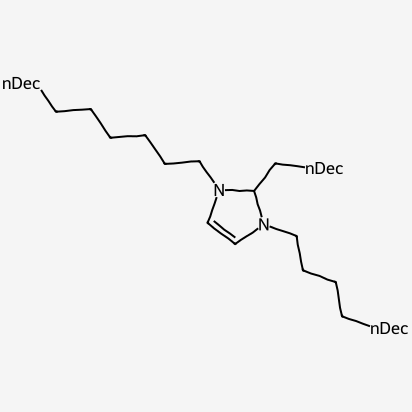 CCCCCCCCCCCCCCCCN1C=CN(CCCCCCCCCCCCCC)C1CCCCCCCCCCC